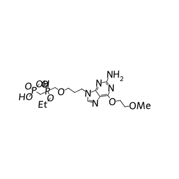 CCOP(=O)(COCCCn1cnc2c(OCCOC)nc(N)nc21)CP(=O)(O)O